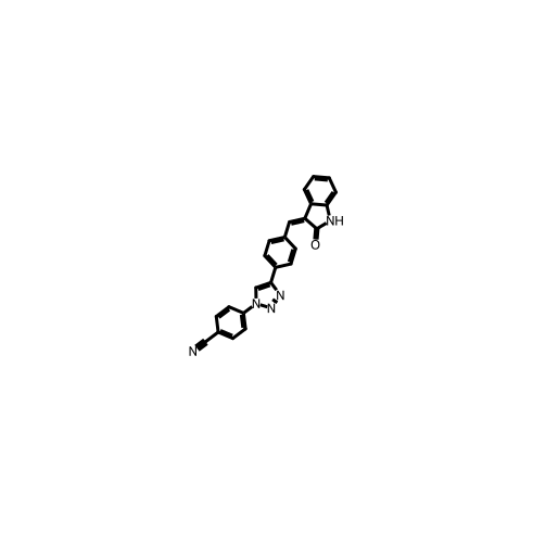 N#Cc1ccc(-n2cc(-c3ccc(C=C4C(=O)Nc5ccccc54)cc3)nn2)cc1